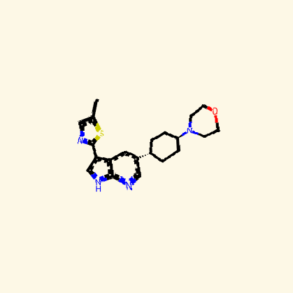 Cc1cnc(-c2c[nH]c3ncc([C@H]4CC[C@H](N5CCOCC5)CC4)cc23)s1